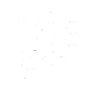 CN(C)C(=O)c1cccc(S(=O)(=O)N2CCSC2C(=O)O[C@@H](Cc2c(Cl)c[n+]([O-])cc2Cl)c2ccc(OC(F)F)c(OCC3CC3)c2)c1